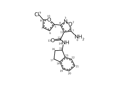 Nc1onc(-c2ccc(Cl)o2)c1C(=O)NC1CCc2ccccc21